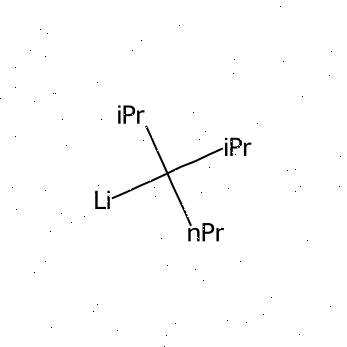 [Li][C](CCC)(C(C)C)C(C)C